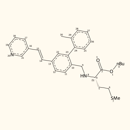 CCCCOC(=O)[C@H](CCSC)NCc1ccc(C=Cc2cccnc2)cc1-c1ccccc1C